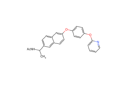 CC(=O)NC(C)c1ccc2cc(Oc3ccc(Oc4ccccn4)cc3)ccc2c1